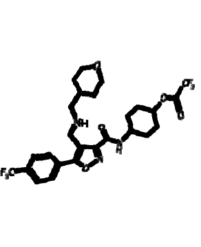 O=C(NC1CCC(OC(=O)C(F)(F)F)CC1)c1noc(-c2ccc(C(F)(F)F)cc2)c1CNCC1CCOCC1